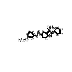 COc1cccc(CN(C)C2CCc3nn(-c4ccccn4)c(O)c3C2)c1